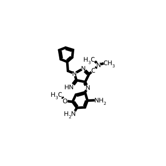 COc1cc(N=C2C(=N)N(Cc3ccccc3)N=C2CN(C)C)c(N)cc1N